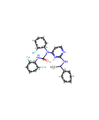 CC(Nc1nccc(N(C(=O)Nc2c(F)cccc2F)c2ccccc2F)n1)c1ccccc1